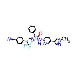 Cn1cc(-c2ccc(NC(=O)[C@@H](NC[C@@H](c3ccc(C#N)cc3)C(F)(F)F)c3ccccc3)nc2)cn1